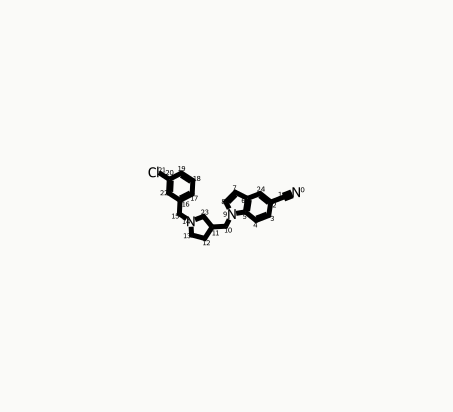 N#Cc1ccc2c(ccn2CC2CCN(Cc3cccc(Cl)c3)C2)c1